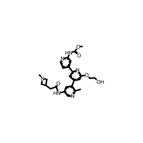 COC(=O)Nc1cc(-c2cc(-c3cc(NC(=O)CC4CN(C)C4)cnc3C)cc(OCCO)n2)ccn1